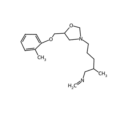 C=NCC(C)CCCN1COC(COc2ccccc2C)C1